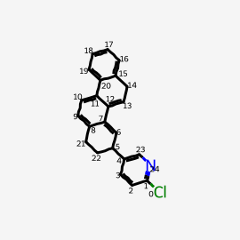 Clc1ccc(C2C=c3c(ccc4c3=CCc3ccccc3-4)CC2)cn1